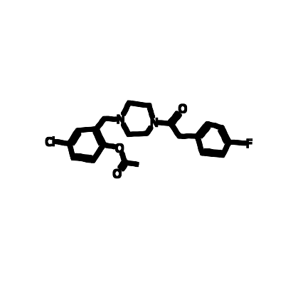 CC(=O)Oc1ccc(Cl)cc1CN1CCN(C(=O)Cc2ccc(F)cc2)CC1